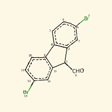 O=CC1c2cc(Br)ccc2-c2ccc(Br)cc21